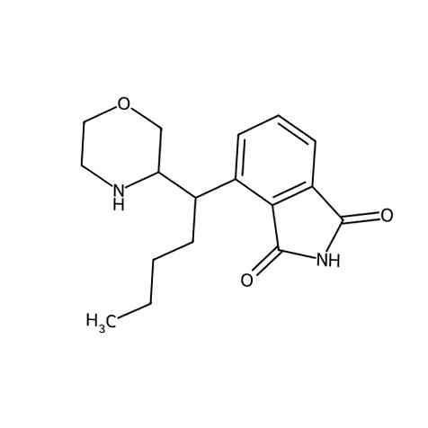 CCCCC(c1cccc2c1C(=O)NC2=O)C1COCCN1